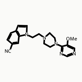 COc1cncnc1N1CCN(CCn2ccc3ccc(C#N)cc32)CC1